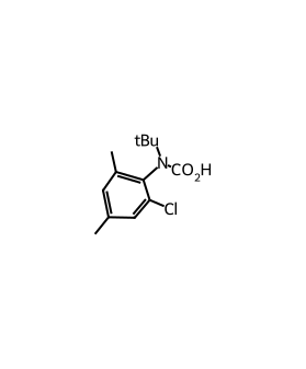 Cc1cc(C)c(N(C(=O)O)C(C)(C)C)c(Cl)c1